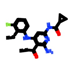 CNC(=O)c1c(Nc2cccc(F)c2OC)cc(NC(=O)C2CC2)nc1N